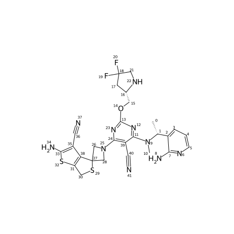 C[C@H](c1cccnc1N)N(C)c1nc(OC[C@@H]2CC(F)(F)CN2)nc(N2CC3(C2)SCc2sc(N)c(C#N)c23)c1C#N